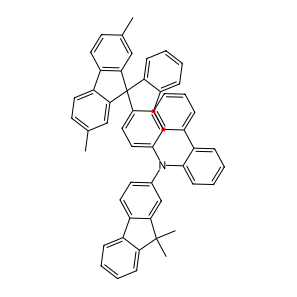 Cc1ccc2c(c1)C1(c3ccccc3-c3cc(N(c4ccc5c(c4)C(C)(C)c4ccccc4-5)c4ccccc4-c4ccccc4)ccc31)c1cc(C)ccc1-2